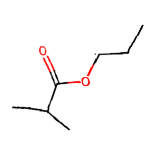 CC[CH]OC(=O)C(C)C